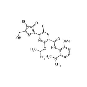 CCn1c(CO)nn(-c2nc(O[C@@H](C)C(F)(F)F)c(C(=O)Nc3c(N(C)C)ccnc3OC)cc2F)c1=O